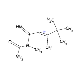 CN(C(=N)/C=C(\O)C(C)(C)C)C(N)=O